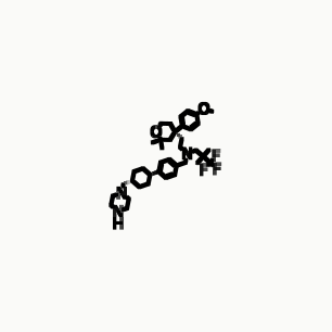 COc1ccc([C@]2(CCN(Cc3ccc([C@H]4CC[C@H](CN5CCNCC5)CC4)cc3)CC(C)(C)C(F)(F)F)CCOC(C)(C)C2)cc1